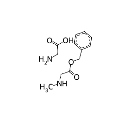 CNCC(=O)OCc1ccccc1.NCC(=O)O